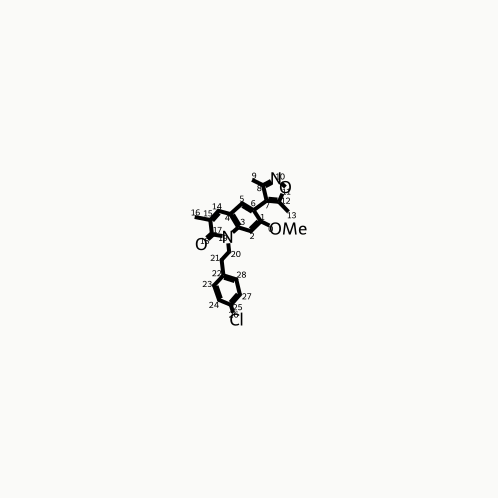 COc1cc2c(cc1-c1c(C)noc1C)cc(C)c(=O)n2CCc1ccc(Cl)cc1